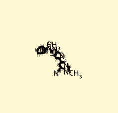 Cc1cn2cc(-c3cc4sc(N(C)C5CC6CCC(C5)N6C)nc4cn3)cc(C#N)c2n1